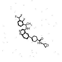 C[C@@H](Nc1cnnc2ccc(C3=CCC(C(=O)NC4COC4)CC3)cc12)c1cccc(C(F)F)c1F